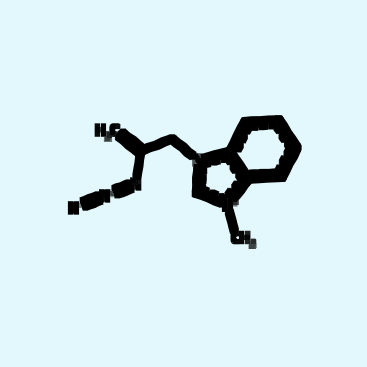 C=C(Cn1c[n+](C)c2ccccc21)N=[N+]=[N-]